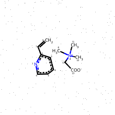 C=Cc1ccccn1.C[N+](C)(C)CC(=O)[O-]